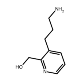 NCCCc1cccnc1CO